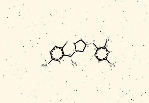 COc1ccc(F)c([C@@H](C)N2CC[C@H](Cc3ncc(C)nc3C)C2)n1